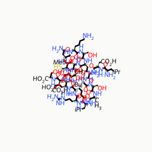 CC[C@H](C)[C@H](NC(=O)CNC(=O)[C@H](CC(=O)O)NC(=O)[C@@H](N)CC(C)C)C(=O)N[C@@H](CO)C(=O)N[C@@H](C)C(=O)N[C@@H](CC(C)C)C(=O)N[C@@H](CCCNC(=N)N)C(=O)N[C@@H](CCCCN)C(=O)N[C@@H](CCC(=O)O)C(=O)N[C@H](C(=O)N[C@@H](CS)C(=O)N[C@@H](CC(N)=O)C(=O)N[C@@H](CCCCN)C(=O)N[C@@H](CO)C(=O)N[C@@H](CC(N)=O)C(=O)N[C@@H](CCSC)C(=O)N[C@@H](CS)C(=O)N[C@@H](CCC(=O)O)C(=O)N[C@@H](CO)C(=O)O)[C@@H](C)O